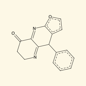 O=C1CCN=C2C1=Nc1occc1C2c1ccccc1